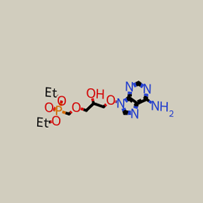 CCOP(=O)(COCC(O)COn1cnc2c(N)ncnc21)OCC